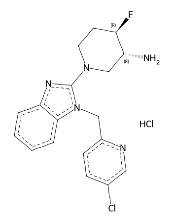 Cl.N[C@@H]1CN(c2nc3ccccc3n2Cc2ccc(Cl)cn2)CC[C@H]1F